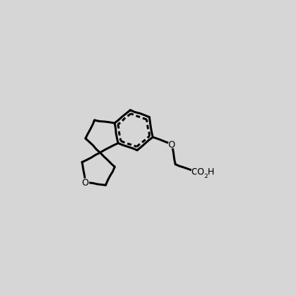 O=C(O)COc1ccc2c(c1)C1(CCOC1)CC2